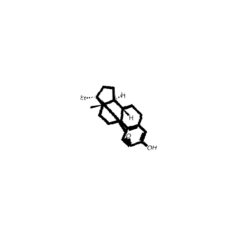 CC[C@@]12CC[C@H]3[C@@H]4CCc5cc(O)c(cc5C4CC[C@@]31C)O2